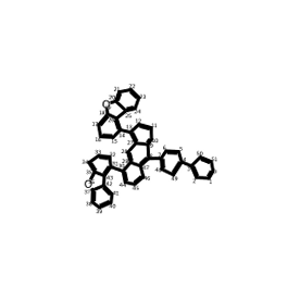 c1ccc(-c2ccc(-c3c4cccc(-c5cccc6oc7ccccc7c56)c4cc4c(-c5cccc6oc7ccccc7c56)cccc34)cc2)cc1